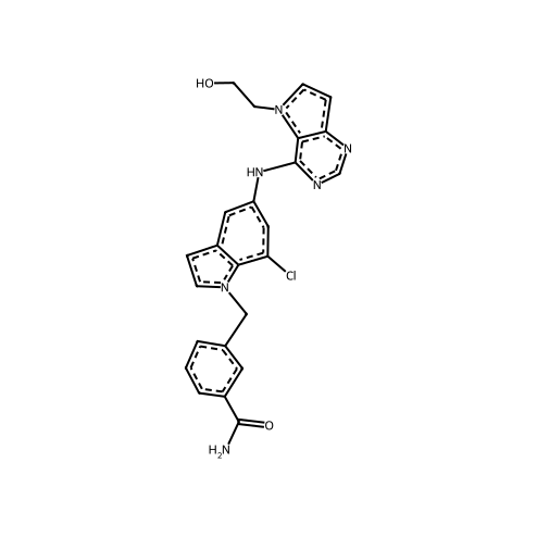 NC(=O)c1cccc(Cn2ccc3cc(Nc4ncnc5ccn(CCO)c45)cc(Cl)c32)c1